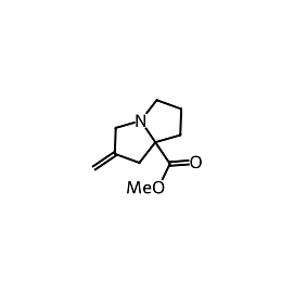 C=C1CN2CCCC2(C(=O)OC)C1